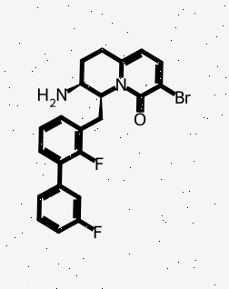 N[C@H]1CCc2ccc(Br)c(=O)n2[C@H]1Cc1cccc(-c2cccc(F)c2)c1F